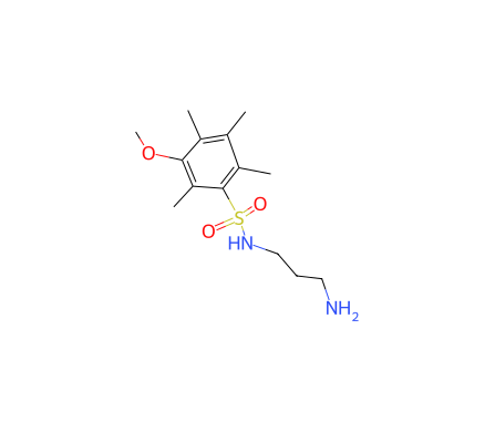 COc1c(C)c(C)c(C)c(S(=O)(=O)NCCCN)c1C